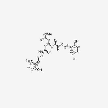 CNC(=O)CN(CC(=O)NCCO[C@@H]1O[C@@H](C)CC[C@@H]1O)CC(=O)NCCO[C@@H]1O[C@@H](C)CC[C@@H]1O